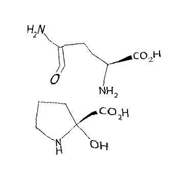 NC(=O)C[C@H](N)C(=O)O.O=C(O)[C@]1(O)CCCN1